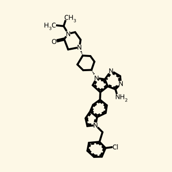 CC(C)N1CCN([C@H]2CC[C@@H](n3cc(-c4ccc5c(ccn5Cc5ccccc5Cl)c4)c4c(N)ncnc43)CC2)CC1=O